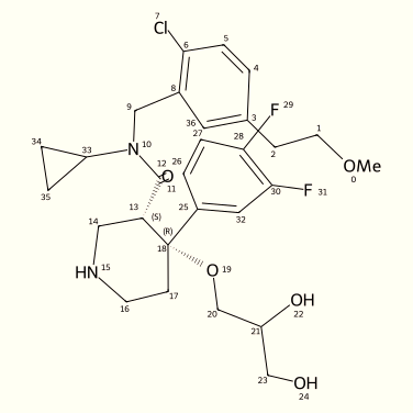 COCCc1ccc(Cl)c(CN(C(=O)[C@H]2CNCC[C@]2(OCC(O)CO)c2ccc(F)c(F)c2)C2CC2)c1